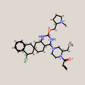 C=CC(=O)N1CCN(C2NC(OCC3CCCN3C)NC3CC4(CCC32)Cc2ccccc2C(Cl)C4)CC1CC#N